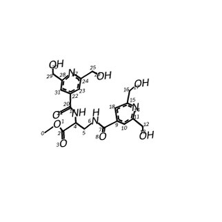 COC(=O)C(CNC(=O)c1cc(CO)nc(CO)c1)NC(=O)c1cc(CO)nc(CO)c1